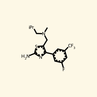 CC(C)CN(C)Cc1sc(N)nc1-c1cc(F)cc(C(F)(F)F)c1